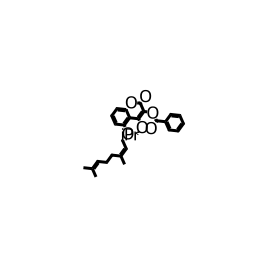 CC(C)=CCCC(C)=CCOc1cccc2oc(=O)c(OC(=O)c3ccccc3)c(OC(C)C)c12